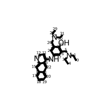 CCN(CC)Cc1cc(Nc2ccnc3cc4ccccc4cc23)cc(CN(CC)CC)c1O